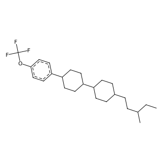 CCC(C)CCC1CCC(C2CCC(c3ccc(OC(F)(F)F)cc3)CC2)CC1